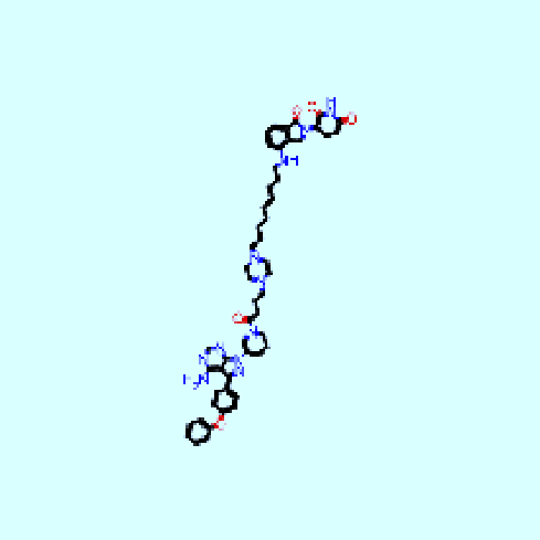 Nc1ncnc2c1c(-c1ccc(Oc3ccccc3)cc1)nn2[C@@H]1CCCN(C(=O)CCCN2CCN(CCCCCCCCCNc3cccc4c3CN(C3CCC(=O)NC3=O)C4=O)CC2)C1